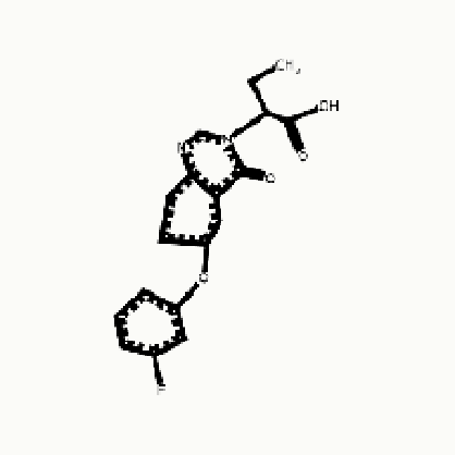 CCC(C(=O)O)n1cnc2ccc(Oc3cccc(F)c3)cc2c1=O